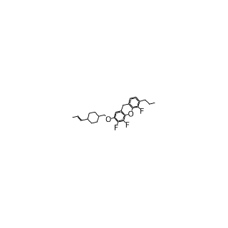 C/C=C/C1CCC(COc2cc3c(c(F)c2F)Oc2c(ccc(CCC)c2F)C3)CC1